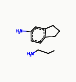 CCCN.Nc1ccc2c(c1)CCC2